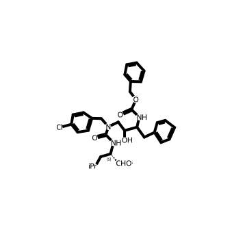 CC(C)C[C@@H]([C]=O)NC(=O)N(Cc1ccc(Cl)cc1)CC(O)C(Cc1ccccc1)NC(=O)OCc1ccccc1